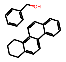 OCc1ccccc1.c1ccc2c(c1)ccc1c3c(ccc12)CCCC3